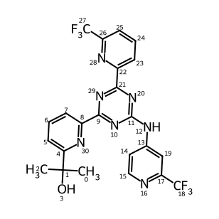 CC(C)(O)c1cccc(-c2nc(Nc3ccnc(C(F)(F)F)c3)nc(-c3cccc(C(F)(F)F)n3)n2)n1